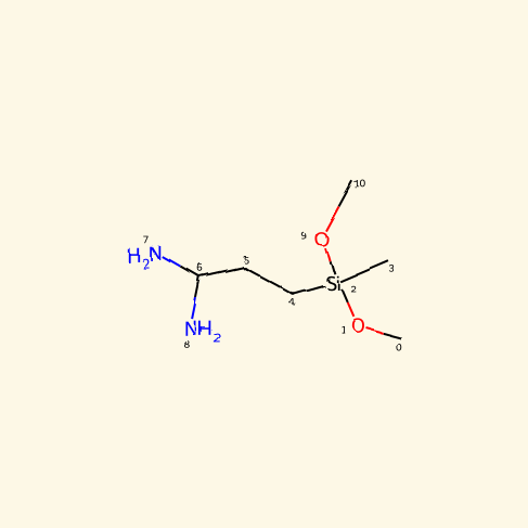 CO[Si](C)(CCC(N)N)OC